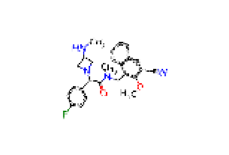 CNC1CN(C(C(=O)N(C)Cc2c(OC)c(C#N)cc3ccccc23)c2ccc(F)cc2)C1